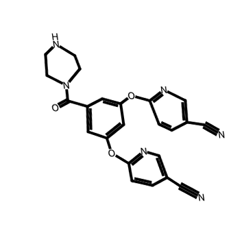 N#Cc1ccc(Oc2cc(Oc3ccc(C#N)cn3)cc(C(=O)N3CCNCC3)c2)nc1